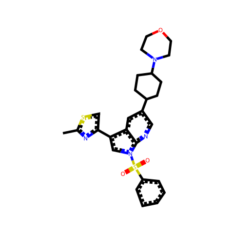 Cc1nc(-c2cn(S(=O)(=O)c3ccccc3)c3ncc(C4CCC(N5CCOCC5)CC4)cc23)cs1